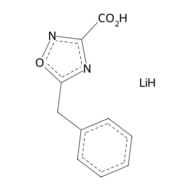 O=C(O)c1noc(Cc2ccccc2)n1.[LiH]